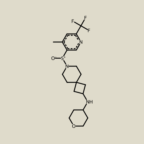 Cc1cc(C(F)(F)F)ncc1[S+]([O-])N1CCC2(CC1)CC(NC1CCOCC1)C2